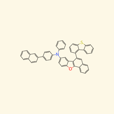 c1ccc(N(c2ccc(-c3ccc4ccccc4c3)cc2)c2ccc3oc4c5ccccc5cc(-c5cccc6sc7ccccc7c56)c4c3c2)cc1